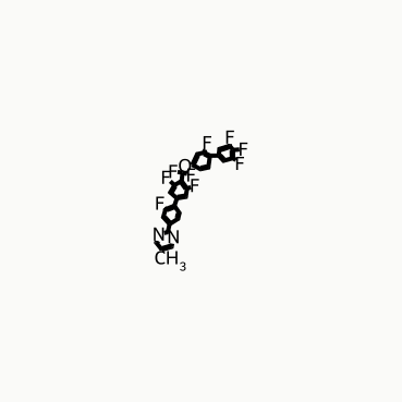 Cc1cnc(-c2ccc(-c3cc(F)c(C(F)(F)Oc4ccc(-c5cc(F)c(F)c(F)c5)c(F)c4)c(F)c3)c(F)c2)nc1